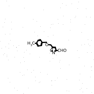 Cc1ccc(COCc2cc(C=O)no2)cc1